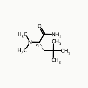 CN(C)[C@@H](CC(C)(C)C)C(N)=O